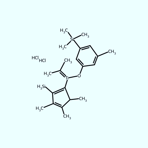 CC1=C(C)C(C)[C]([Ti]([O]c2cc(C)cc([Si](C)(C)C)c2)=[C](C)C)=C1[SiH3].Cl.Cl